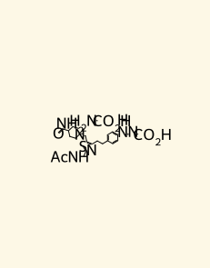 CC(=O)Nc1nc(CCc2ccc(NC=NC(=O)O)cc2)c(CN2CCC(C(N)=O)CC2)s1.NC(=O)O